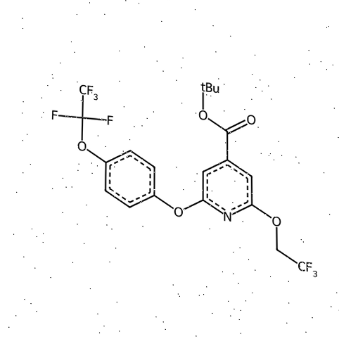 CC(C)(C)OC(=O)c1cc(OCC(F)(F)F)nc(Oc2ccc(OC(F)(F)C(F)(F)F)cc2)c1